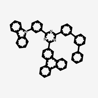 c1ccc(-c2cccc(-c3cccc(-c4nc(-c5cccc(-n6c7ccccc7c7ccccc76)c5)nc(-c5ccc6c7ccccc7c7ccccc7c6c5)n4)c3)c2)cc1